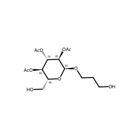 CC(=O)O[C@@H]1[C@@H](OC(C)=O)[C@@H](OCCCO)O[C@H](CO)[C@H]1OC(C)=O